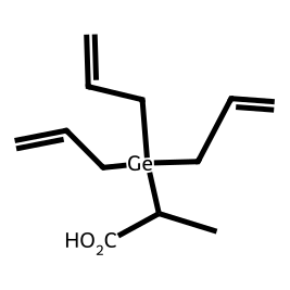 C=C[CH2][Ge]([CH2]C=C)([CH2]C=C)[CH](C)C(=O)O